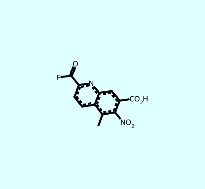 Cc1c([N+](=O)[O-])c(C(=O)O)cc2nc(C(=O)F)ccc12